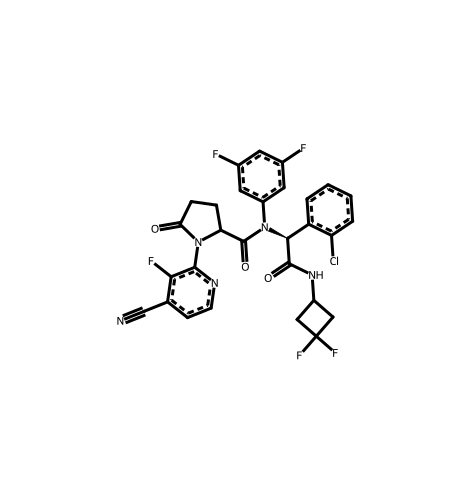 N#Cc1ccnc(N2C(=O)CCC2C(=O)N(c2cc(F)cc(F)c2)[C@H](C(=O)NC2CC(F)(F)C2)c2ccccc2Cl)c1F